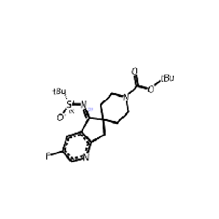 CC(C)(C)OC(=O)N1CCC2(CC1)Cc1ncc(F)cc1/C2=N\[S@+]([O-])C(C)(C)C